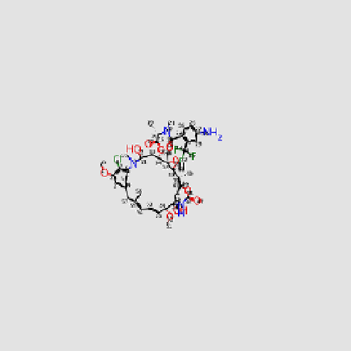 COc1cc2cc(c1Cl)N(C)C(O)C[C@H](OC(=O)[C@H](C)N(C)C(=O)c1ccc(N)cc1C(F)(F)F)[C@]1(C)O[C@H]1[C@H](C)[C@@H]1C[C@@](O)(NC(=O)O1)[C@H](OC)/C=C/C=C(\C)C2